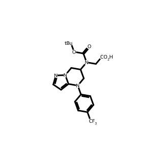 CC(C)(C)OC(=O)N(CC(=O)O)C1CN(c2ccc(C(F)(F)F)cc2)c2ccnn2C1